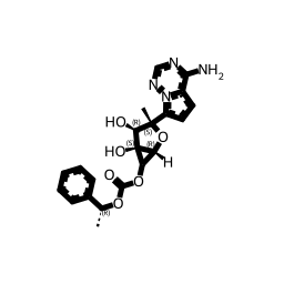 C[C@@H](OC(=O)OC1[C@H]2O[C@@](C)(c3ccc4c(N)ncnn34)[C@H](O)[C@@]12O)c1ccccc1